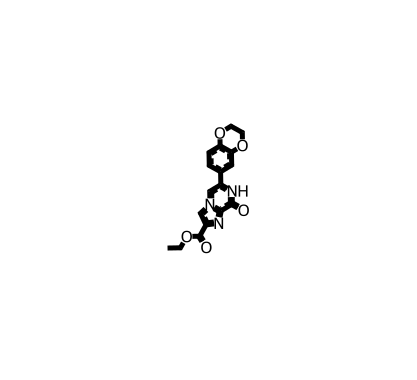 CCOC(=O)c1cn2cc(-c3ccc4c(c3)OCCO4)[nH]c(=O)c2n1